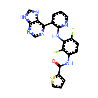 O=C(Nc1ccc(F)c(Nc2ncccc2-c2ncnc3[nH]cnc23)c1F)c1cccs1